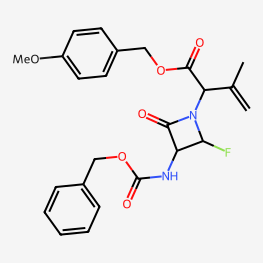 C=C(C)C(C(=O)OCc1ccc(OC)cc1)N1C(=O)C(NC(=O)OCc2ccccc2)C1F